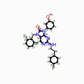 COc1cccc(-n2c(=O)n(Cc3c(F)cccc3F)c3cnc(NCCc4ccc(F)cc4)nc32)c1